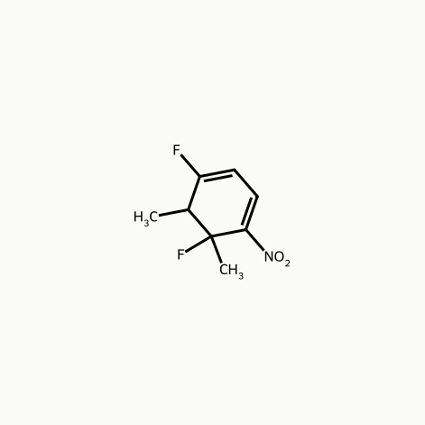 CC1C(F)=CC=C([N+](=O)[O-])C1(C)F